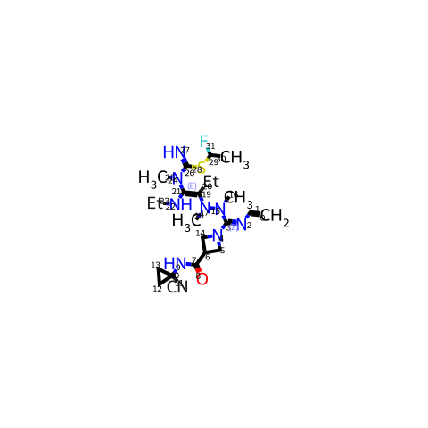 C=C/N=C(/N1CC(C(=O)NC2(C#N)CC2)C1)N(C)N(C)/C(CC)=C(\NCC)N(C)C(=N)SC(C)F